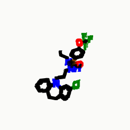 CCCN=[S@](=O)(NCCCN1c2ccccc2CCc2ccc(Cl)cc21)c1ccc(OC(F)(F)F)cc1